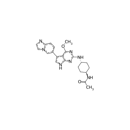 COc1nc(N[C@H]2CC[C@H](NC(C)=O)CC2)nc2[nH]cc(-c3ccc4nccn4c3)c12